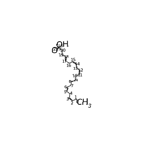 CC/C=C\C/C=C\C/C=C/C/C=C\C/C=C\C/C=C/CCC(=O)O